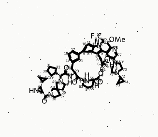 CO[C@@H](C)C1=C(c2c3c4cc(ccc4n2CC(F)(F)F)-c2cccc(c2)C[C@H](NC(=O)[C@H](C2CCCC2)N2CC[C@]4(CCN(C(=O)[C@@H]5N[C@@H]5C5CC5)C4)C2)C(=O)N2CCC[C@H](N2)C(=O)OCC(C)(C)C3)CC(N2CCN(C3CC3)CC2)C=N1